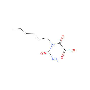 CCCCCCN(C(N)=O)C(=O)C(=O)O